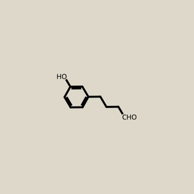 O=CCCCc1cccc(O)c1